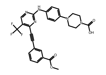 COC(=O)c1cccc(C#Cc2nc(Nc3ccc(N4CCN(C(=O)O)CC4)cc3)ncc2C(F)(F)F)c1